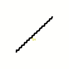 CCCCCCCCCCCCCCCCCC(S)CCCCCCCCCCCC